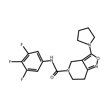 O=C(Nc1cc(F)c(F)c(F)c1)N1CCc2noc(N3CCCC3)c2C1